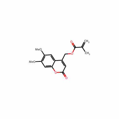 C=C(C)C(=O)OCc1cc(=O)oc2cc(OC)c(OC)cc12